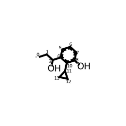 [CH2]CC(O)c1cccc(O)c1C1CC1